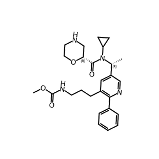 COC(=O)NCCCc1cc([C@@H](C)N(C(=O)[C@H]2CNCCO2)C2CC2)cnc1-c1ccccc1